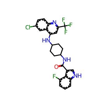 O=C(NC1CCC(Nc2cc(C(F)(F)F)nc3ccc(Cl)cc23)CC1)c1c[nH]c2cccc(F)c12